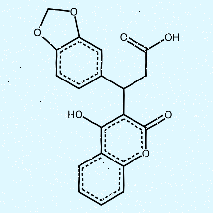 O=C(O)CC(c1ccc2c(c1)OCO2)c1c(O)c2ccccc2oc1=O